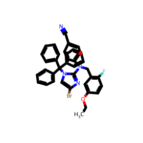 CCOc1ccc(F)c(CN(c2ccc(C#N)cc2)c2nc(Br)cn2C(c2ccccc2)(c2ccccc2)c2ccccc2)c1